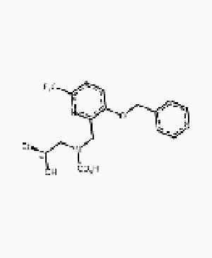 CC[C@H](O)CN(Cc1nc(C(F)(F)F)ccc1OCc1ccccc1)C(=O)O